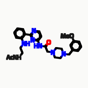 COc1cccc(CN2CCN(CC(=O)Nc3ccnc(-c4ccccc4NCCNC(C)=O)n3)CC2)c1